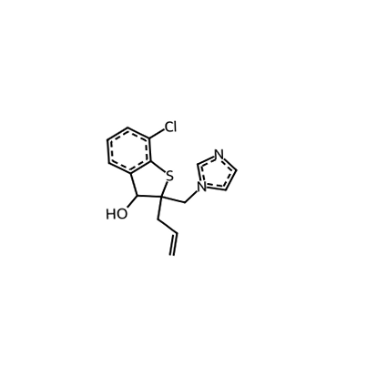 C=CCC1(Cn2ccnc2)Sc2c(Cl)cccc2C1O